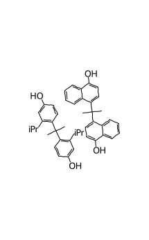 CC(C)(c1ccc(O)c2ccccc12)c1ccc(O)c2ccccc12.CC(C)c1cc(O)ccc1C(C)(C)c1ccc(O)cc1C(C)C